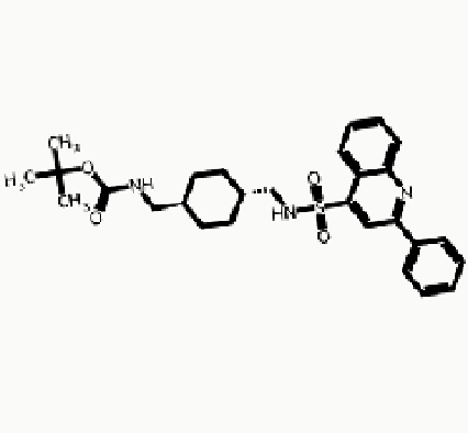 CC(C)(C)OC(=O)NC[C@H]1CC[C@H](CNS(=O)(=O)c2cc(-c3ccccc3)nc3ccccc23)CC1